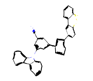 N#Cc1cc(-c2cccc(-c3ccc4sc5ccccc5c4c3)c2)cc(-n2c3ccccc3c3ccccc32)c1